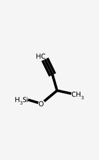 C#CC(C)O[SiH3]